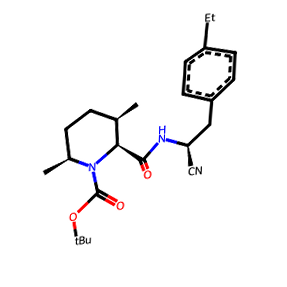 CCc1ccc(C[C@@H](C#N)NC(=O)[C@@H]2[C@H](C)CC[C@H](C)N2C(=O)OC(C)(C)C)cc1